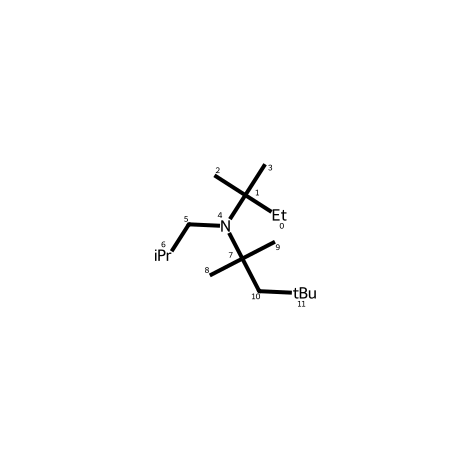 CCC(C)(C)N(CC(C)C)C(C)(C)CC(C)(C)C